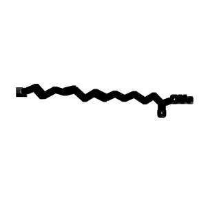 CCC=CCC=CCC=CCCCCCC(=O)OC